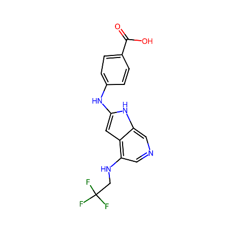 O=C(O)c1ccc(Nc2cc3c(NCC(F)(F)F)cncc3[nH]2)cc1